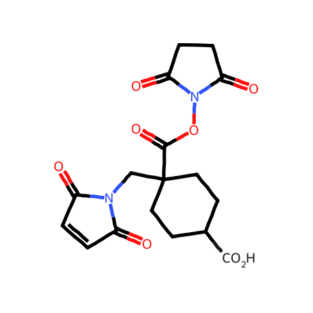 O=C(O)C1CCC(CN2C(=O)C=CC2=O)(C(=O)ON2C(=O)CCC2=O)CC1